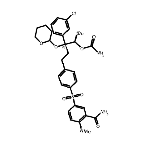 CNc1ccc(S(=O)(=O)c2ccc(CC[C@@](OC3CCCCO3)(c3cccc(Cl)c3)C(OC(N)=O)C(C)(C)C)cc2)cc1C(N)=O